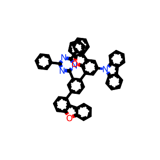 c1ccc(-c2nc(-c3ccccc3)nc(-c3cc(-c4cccc5oc6ccccc6c45)ccc3-c3cc(-n4c5ccccc5c5ccccc54)cc4c3oc3ccccc34)n2)cc1